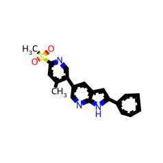 Cc1cc(S(C)(=O)=O)ncc1-c1cnc2[nH]c(-c3ccccc3)cc2c1